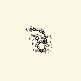 CO[C@]1(C)C[C@H](CO[C@H]2[C@H](C)[C@@H](O[C@@H]3O[C@H](C)C[C@H](N(C)CCc4cn(C[C@H](O)COc5ccc(S(C)(=O)=O)cc5)nn4)[C@H]3O)[C@](C)(O)C[C@@H](C)CN(C)[C@H](C)[C@@H](O)[C@](C)(O)[C@@H](C)OC(=O)[C@@H]2C)O[C@@H](C)[C@@H]1O